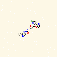 Cc1cc(NC(=O)NCC2=NOC(COc3cccnc3-c3ccc(F)nc3)C2)ccn1